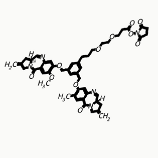 C=C1C[C@H]2C=Nc3cc(OCc4cc(CCCOCCOCCC(=O)ON5C(=O)CCC5=O)cc(COc5cc6c(cc5OC)C(=O)N5CC(=C)C[C@H]5C=N6)c4)c(C)cc3C(=O)N2C1